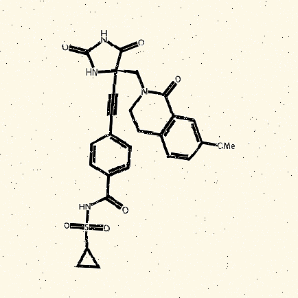 COc1ccc2c(c1)C(=O)N(C[C@@]1(C#Cc3ccc(C(=O)NS(=O)(=O)C4CC4)cc3)NC(=O)NC1=O)CC2